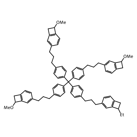 CCC1Cc2ccc(CCCc3ccc(C(c4ccc(CCCc5ccc6c(c5)CC6OC)cc4)(c4ccc(CCCc5ccc6c(c5)C(OC)C6)cc4)c4ccc(CCCc5ccc6c(c5)C(OC)C6)cc4)cc3)cc21